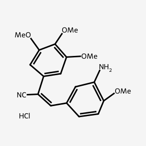 COc1ccc(C=C(C#N)c2cc(OC)c(OC)c(OC)c2)cc1N.Cl